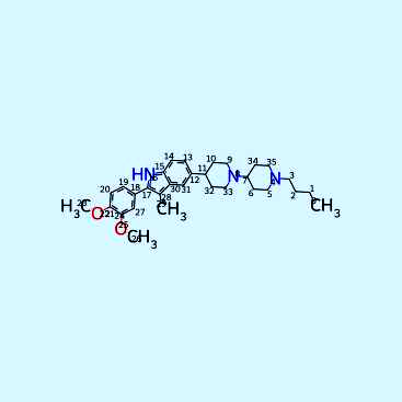 CCCCN1CCC(N2CCC(c3ccc4[nH]c(-c5ccc(OC)c(OC)c5)c(C)c4c3)CC2)CC1